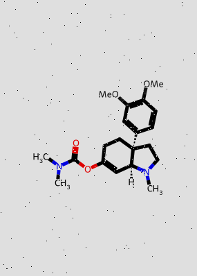 COc1ccc([C@@]23CCC(OC(=O)N(C)C)=C[C@@H]2N(C)CC3)cc1OC